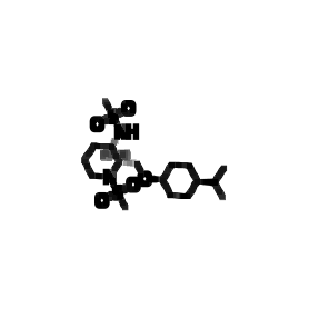 CC(C)[C@H]1CC[C@@H](OC[C@H]2[C@@H](NS(C)(=O)=O)CCCN2S(C)(=O)=O)CC1